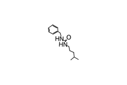 CC(C)CCCNC(=O)NCc1ccccc1